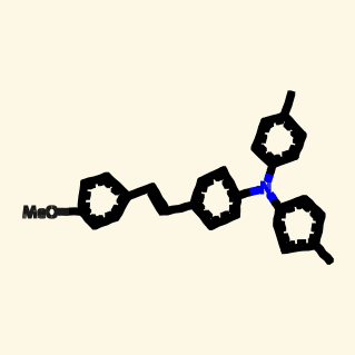 COc1ccc(/C=C/c2ccc(N(c3ccc(C)cc3)c3ccc(C)cc3)cc2)cc1